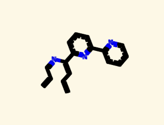 C=C/C=N\C(=C/C=C)c1cccc(-c2ccccn2)n1